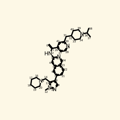 C=C(Nc1cc2cc(-c3cnn(C)c3CN3CCCCC3)ccc2cn1)c1ccnc(CC2CCN(C(C)C)CC2)c1